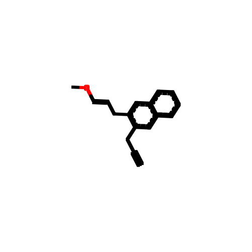 C#CCc1cc2ccccc2cc1CC=COC